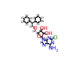 Nc1nc(Cl)nc2c1ncn2[C@@H]1O[C@H](COCC(c2ccccc2)c2ccccc2)[C@@H](O)[C@H]1O